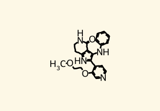 COCCOc1cnccc1-c1[nH]c2c(c1Nc1ccccc1)C(=O)NCC2